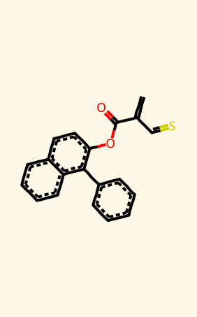 C=C(C=S)C(=O)Oc1ccc2ccccc2c1-c1ccccc1